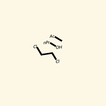 CC(C)=O.CCCO.ClCCCl